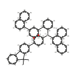 CC1(C)c2ccccc2-c2ccc(-c3ccc(N(c4ccccc4-c4cccc(-c5cccc6ccccc56)c4)c4cc5ccccc5c5ccccc45)cc3)cc21